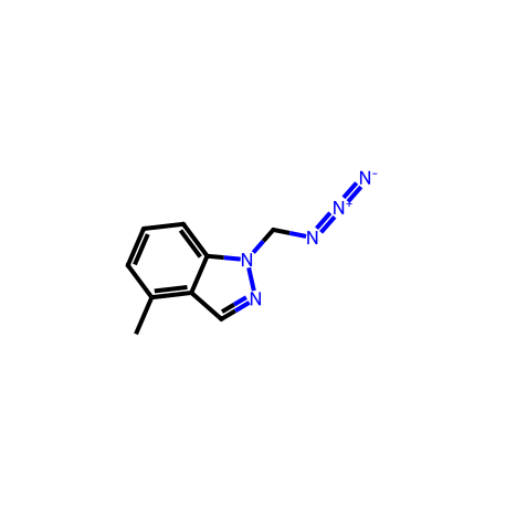 Cc1cccc2c1cnn2CN=[N+]=[N-]